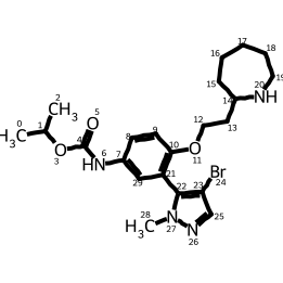 CC(C)OC(=O)Nc1ccc(OCCC2CCCCCN2)c(-c2c(Br)cnn2C)c1